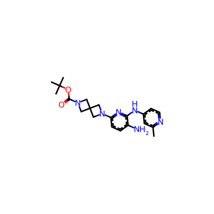 Cc1cc(Nc2nc(N3CC4(CN(C(=O)OC(C)(C)C)C4)C3)ccc2N)ccn1